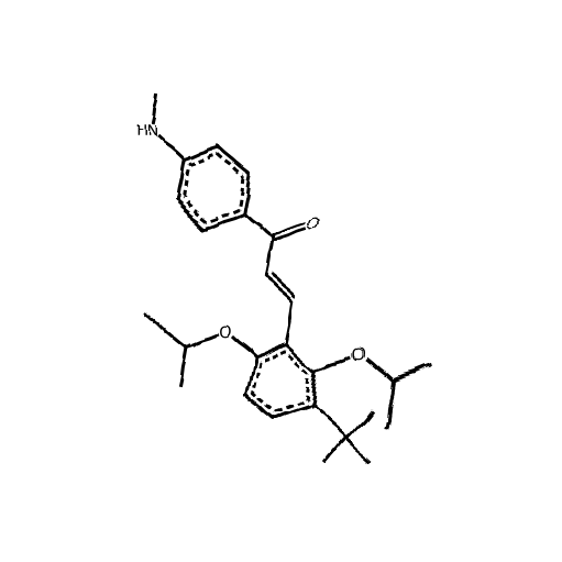 CNc1ccc(C(=O)C=Cc2c(OC(C)C)ccc(C(C)(C)C)c2OC(C)C)cc1